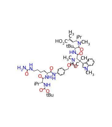 C/C(=C\[C@H](C(C)C)N(C)C(=O)[C@@H](NC(=O)[C@@H](N(C)C(=O)OCc1ccc(NC(=O)[C@H](CCCCNC(N)=O)NC(=O)C(NC(=O)OC(C)(C)C)C(C)C)cc1)C(C)(C)c1cn(C)c2ccccc12)C(C)(C)C)C(=O)O